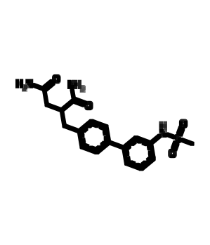 CS(=O)(=O)Nc1cccc(-c2ccc(CC(CC(N)=O)C(N)=O)cc2)c1